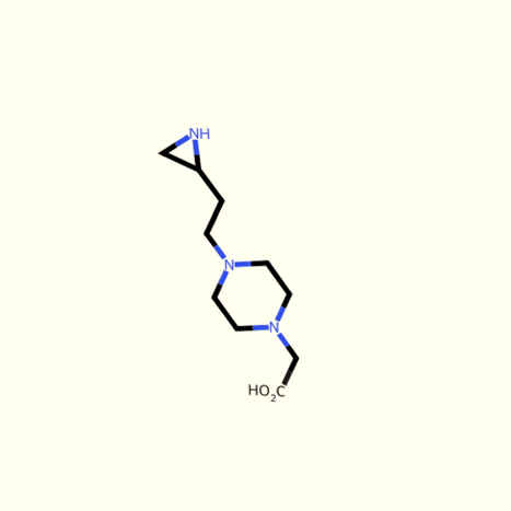 O=C(O)CN1CCN(CCC2CN2)CC1